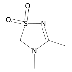 CC1=NS(=O)(=O)CN1C